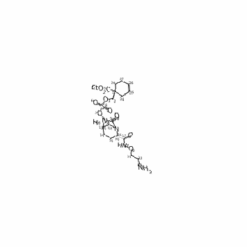 CCOC(=O)C1(COS(=O)(=O)ON2C(=O)N3C[C@H]2CC[C@H]3C(=O)NOCCN)CCCCC1